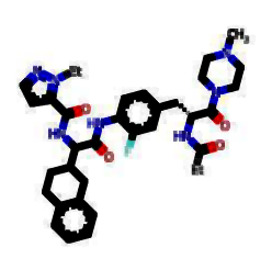 CCC(=O)N[C@H](Cc1ccc(NC(=O)C(NC(=O)c2ccnn2CC)C2CCc3ccccc3C2)c(F)c1)C(=O)N1CCN(C)CC1